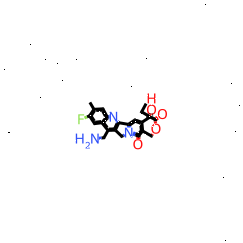 CC[C@@]1(O)C(=O)OCc2c1cc1n(c2=O)Cc2c-1nc1cc(C)c(F)cc1c2CN